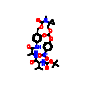 CC(C)[C@H](NC(=O)OC(C)(C)C)C(=O)N[C@@H](C)C(=O)Nc1ccc(COC(=O)N(C)C2(COC(=O)Oc3ccc([N+](=O)[O-])cc3)CC2)cc1